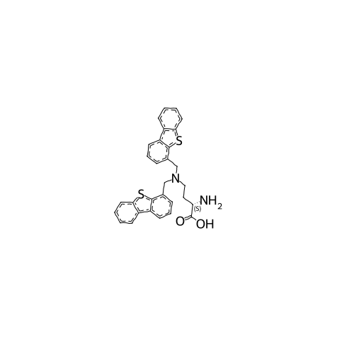 N[C@@H](CCN(Cc1cccc2c1sc1ccccc12)Cc1cccc2c1sc1ccccc12)C(=O)O